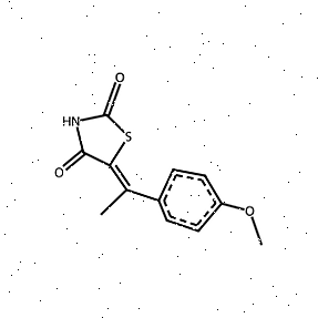 COc1ccc(/C(C)=C2\SC(=O)NC2=O)cc1